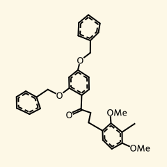 COc1ccc(CCC(=O)c2ccc(OCc3ccccc3)cc2OCc2ccccc2)c(OC)c1C